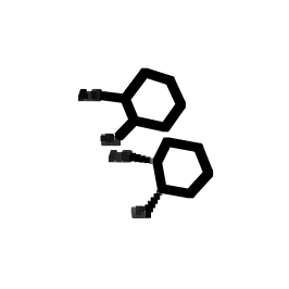 CC(=O)OC1CCCCC1C(C)(C)C.CC(=O)O[C@@H]1CCCC[C@@H]1C(C)(C)C